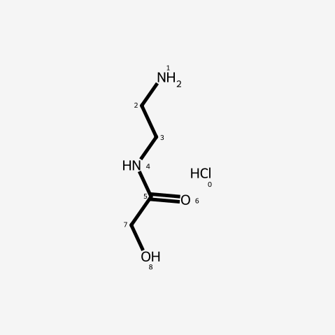 Cl.NCCNC(=O)CO